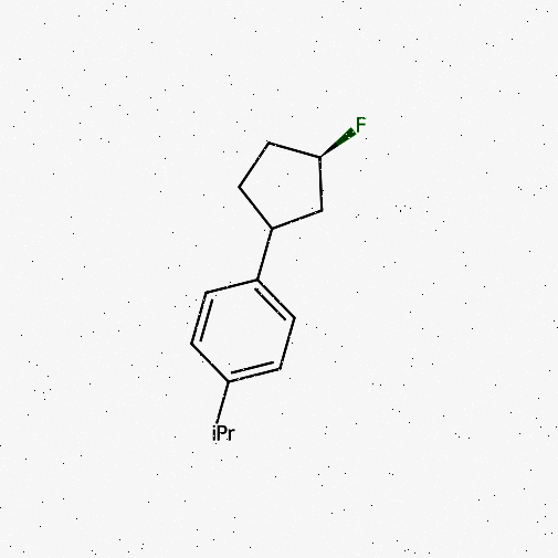 CC(C)c1ccc(C2CC[C@@H](F)C2)cc1